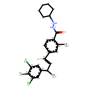 O=C(NNC1CCCCC1)c1ccc(/C(F)=C/C(c2cc(Cl)c(Cl)c(Cl)c2)C(F)(F)F)cc1C(F)(F)F